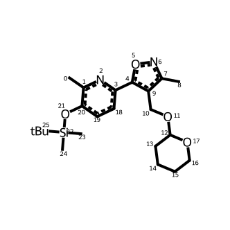 Cc1nc(-c2onc(C)c2COC2CCCCO2)ccc1O[Si](C)(C)C(C)(C)C